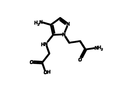 NC(=O)CCn1ncc(N)c1NCC(=O)O